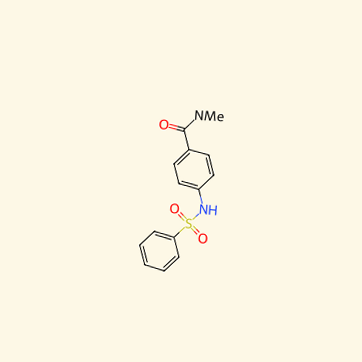 CNC(=O)c1ccc(NS(=O)(=O)c2ccccc2)cc1